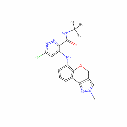 [2H]C([2H])([2H])NC(=O)c1nnc(Cl)cc1Nc1cccc2c1OCc1cn(C)nc1-2